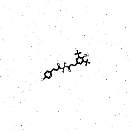 CC(C)(C)c1cc(CCC(=O)NNC(=O)C=Cc2ccc(Cl)cc2)cc(C(C)(C)C)c1O